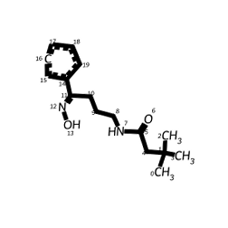 CC(C)(C)CC(=O)NCCC/C(=N\O)c1ccccc1